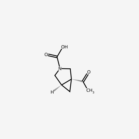 CC(=O)[C@]12C[C@H]1CN(C(=O)O)C2